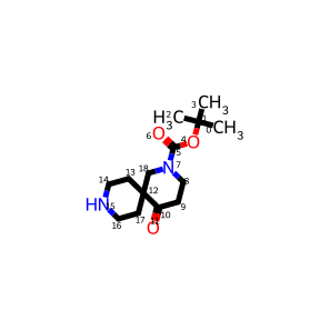 CC(C)(C)OC(=O)N1CCC(=O)C2(CCNCC2)C1